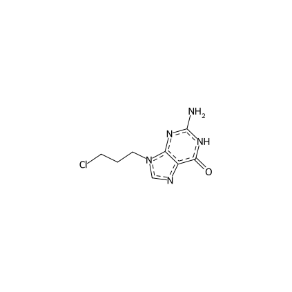 Nc1nc2c(ncn2CCCCl)c(=O)[nH]1